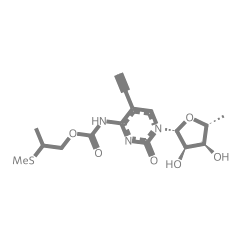 C#Cc1cn([C@@H]2O[C@H](C)[C@@H](O)[C@H]2O)c(=O)nc1NC(=O)OCC(C)SC